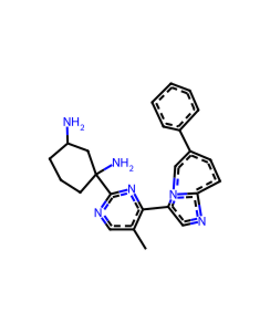 Cc1cnc(C2(N)CCCC(N)C2)nc1-c1cnc2ccc(-c3ccccc3)cn12